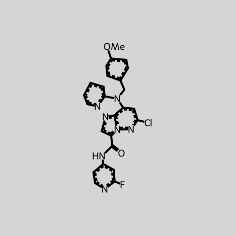 COc1ccc(CN(c2ccccn2)c2cc(Cl)nn3c(C(=O)Nc4ccnc(F)c4)cnc23)cc1